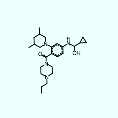 CCCN1CCN(C(=O)c2ccc(NC(O)C3CC3)cc2N2CC(C)CC(C)C2)CC1